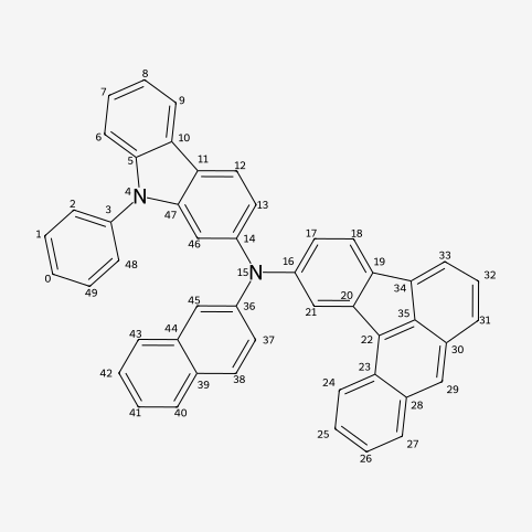 c1ccc(-n2c3ccccc3c3ccc(N(c4ccc5c(c4)-c4c6ccccc6cc6cccc-5c46)c4ccc5ccccc5c4)cc32)cc1